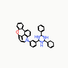 C=C1/C2=C\C=C/N(c3cccc(C4NC(C5=CC=CCC5)NC(c5ccccc5)N4)c3)c3cccc(c31)-c1ccccc1O2